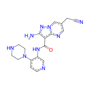 N#CCc1cnc2c(C(=O)Nc3cnccc3N3CCNCC3)c(N)nn2c1